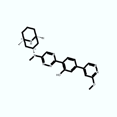 COc1cc(-c2ccc(-c3ncc(N(C)[C@H]4C[C@@H]5CCC[C@](C)(C4)N5)nn3)c(O)c2)cnn1